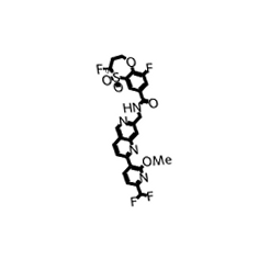 COc1nc(C(F)F)ccc1-c1ccc2cnc(CNC(=O)c3cc(F)c4c(c3)S(=O)(=O)[C@@H](F)CCO4)cc2n1